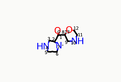 O=C(C1CNCC[N]1)C1CNCCO1